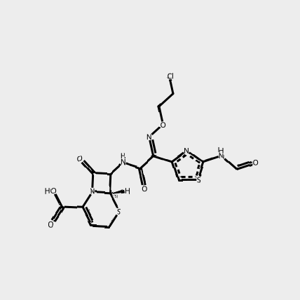 O=CNc1nc(C(=NOCCCl)C(=O)NC2C(=O)N3C(C(=O)O)=CCS[C@@H]23)cs1